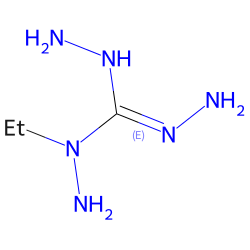 CCN(N)/C(=N/N)NN